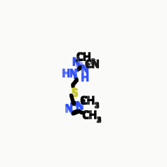 C/N=C(\NC#N)NCCSCc1ncc(C)n1C